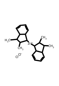 CC1C(C)[CH]([Zr+2][CH]2C(C)C(C)C3C=CC=CC32)C2C=CC=CC12.[Cl-].[Cl-]